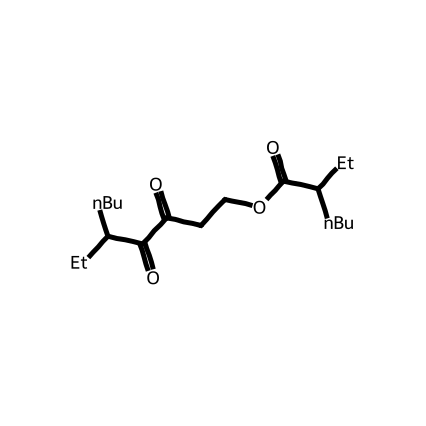 CCCCC(CC)C(=O)OCCC(=O)C(=O)C(CC)CCCC